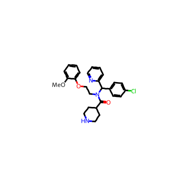 COc1ccccc1OCCN(C(=O)C1CCNCC1)C(c1ccc(Cl)cc1)c1ccccn1